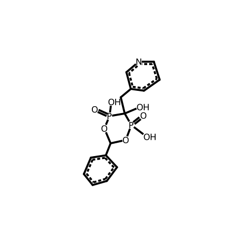 O=P1(O)OC(c2ccccc2)OP(=O)(O)C1(O)Cc1cccnc1